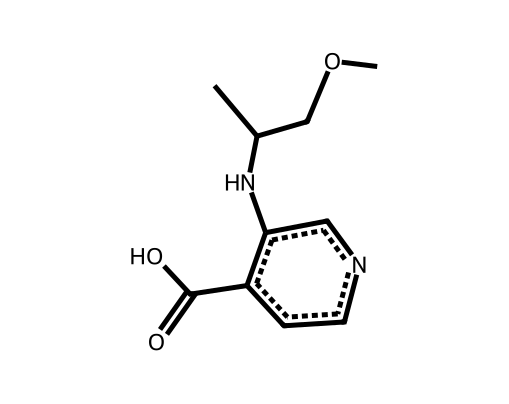 COCC(C)Nc1cnccc1C(=O)O